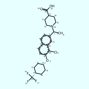 CC(c1ccc2ccc(O[C@H]3CC[C@@H](C(F)(F)F)CC3)c(Cl)c2c1)N1CCC(C(=O)O)CC1